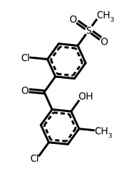 Cc1cc(Cl)cc(C(=O)c2ccc(S(C)(=O)=O)cc2Cl)c1O